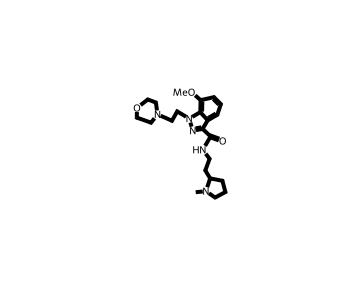 COc1cccc2c(C(=O)NCCC3CCCN3C)nn(CCN3CCOCC3)c12